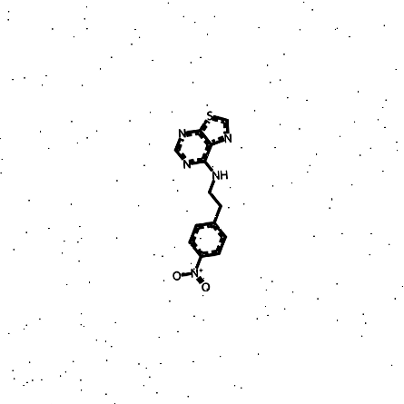 O=[N+]([O-])c1ccc(CCNc2ncnc3scnc23)cc1